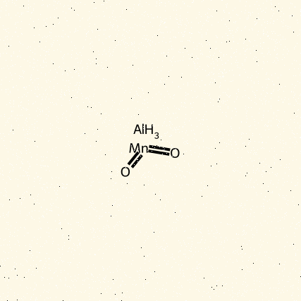 [AlH3].[O]=[Mn]=[O]